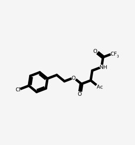 CC(=O)C(CNC(=O)C(F)(F)F)C(=O)OCCc1ccc(Cl)cc1